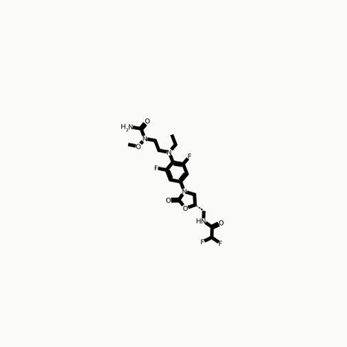 CCN(CCN(OC)C(N)=O)c1c(F)cc(N2C[C@H](CNC(=O)C(F)F)OC2=O)cc1F